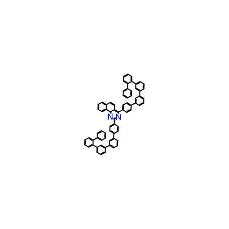 c1ccc(-c2ccccc2-c2cccc(-c3cccc(-c4ccc(-c5nc(-c6ccc(-c7cccc(-c8cccc(-c9ccccc9-c9ccccc9)c8)c7)cc6)c6ccc7ccccc7c6n5)cc4)c3)c2)cc1